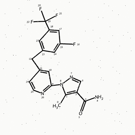 Cc1c(C(N)=O)cnn1-c1cc(Cc2cc(F)cc(C(F)(F)F)c2)ccn1